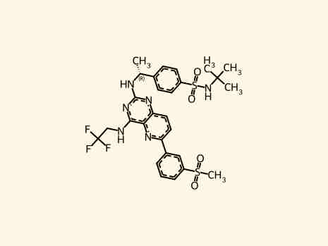 C[C@@H](Nc1nc(NCC(F)(F)F)c2nc(-c3cccc(S(C)(=O)=O)c3)ccc2n1)c1ccc(S(=O)(=O)NC(C)(C)C)cc1